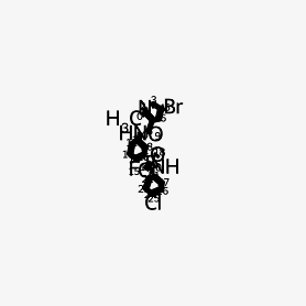 Cc1ncc(Br)cc1C(=O)Nc1ccc(F)c(S(=O)(=O)Nc2ccc(Cl)cc2)c1